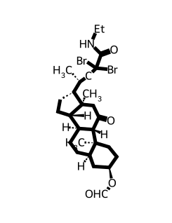 CCNC(=O)C(Br)(Br)C[C@@H](C)[C@H]1CC[C@H]2[C@@H]3CC[C@@H]4C[C@H](OC=O)CC[C@]4(C)[C@H]3C(=O)C[C@]12C